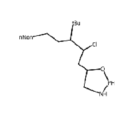 CCCCCCCCCCCC(C(Cl)CC1CNPO1)C(C)(C)C